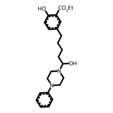 CCOC(=O)c1cc(CCCCC(O)N2CCN(c3ccccc3)CC2)ccc1O